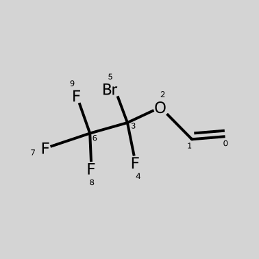 C=COC(F)(Br)C(F)(F)F